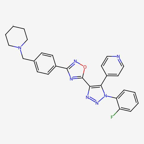 Fc1ccccc1-n1nnc(-c2nc(-c3ccc(CN4CC[CH]CC4)cc3)no2)c1-c1ccncc1